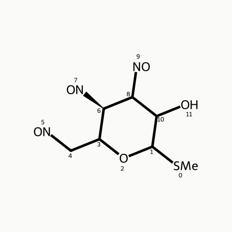 CSC1OC(CN=O)[C@@H](N=O)C(N=O)C1O